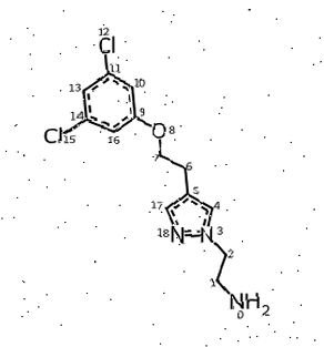 NCCn1cc(CCOc2cc(Cl)cc(Cl)c2)cn1